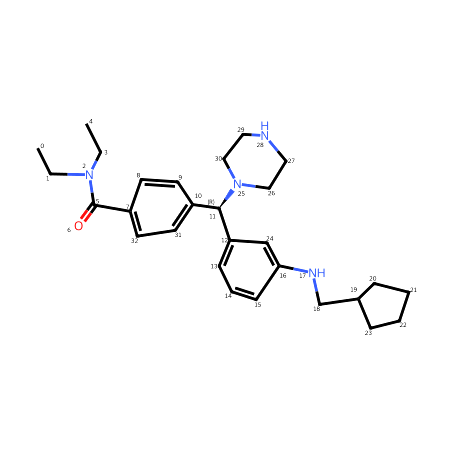 CCN(CC)C(=O)c1ccc([C@H](c2cccc(NCC3CCCC3)c2)N2CCNCC2)cc1